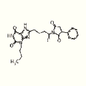 CCCCn1c(=O)[nH]c(=O)c2[nH]c(CCCC(Cl)N3C(=O)CC(c4ccccc4)C3=O)nc21